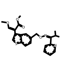 COC=C(C(=O)OC)c1csc2ccc(CON=C(c3ccccn3)C(C)C)cc12